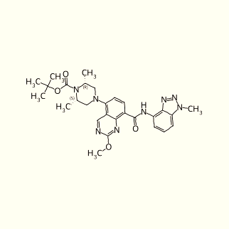 COc1ncc2c(N3C[C@@H](C)N(C(=O)OC(C)(C)C)[C@@H](C)C3)ccc(C(=O)Nc3cccc4c3nnn4C)c2n1